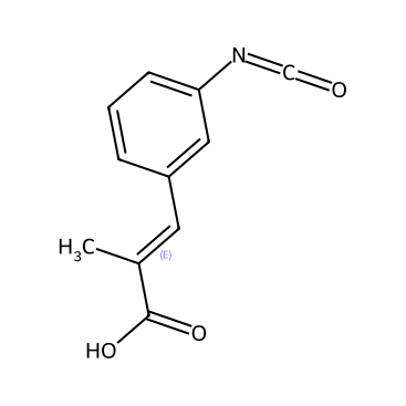 C/C(=C\c1cccc(N=C=O)c1)C(=O)O